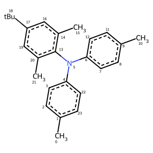 Cc1ccc(N(c2ccc(C)cc2)c2c(C)cc(C(C)(C)C)cc2C)cc1